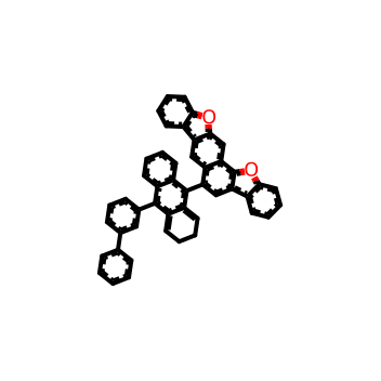 C1=c2c(-c3cccc(-c4ccccc4)c3)c3ccccc3c(-c3cc4c5ccccc5oc4c4cc5oc6ccccc6c5cc34)c2=CCC1